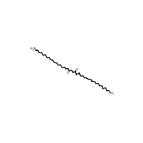 NCCCCCCCCCCCCCCCCCCC(=O)CCC(=O)CCCCCCCCCCCCCCCCCCN